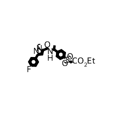 CCOC(=O)CS(=O)(=O)c1ccc(C(C)NC(=O)c2cc(-c3ccc(F)cc3)nn2C)cc1